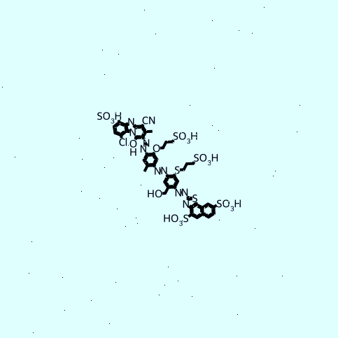 Cc1cc(N=Nc2c(C)c(C#N)c3nc4c(S(=O)(=O)O)ccc(Cl)c4n3c2O)c(OCCCS(=O)(=O)O)cc1N=Nc1cc(CO)c(N=Nc2nc3c(S(=O)(=O)O)cc4ccc(S(=O)(=O)O)cc4c3s2)cc1SCCCS(=O)(=O)O